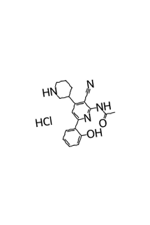 CC(=O)Nc1nc(-c2ccccc2O)cc(C2CCCNC2)c1C#N.Cl